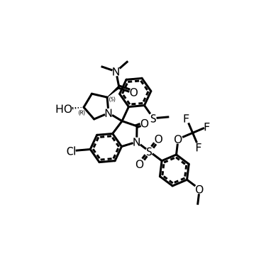 COc1ccc(S(=O)(=O)N2C(=O)C(c3ccccc3SC)(N3C[C@H](O)C[C@H]3C(=O)N(C)C)c3cc(Cl)ccc32)c(OC(F)(F)F)c1